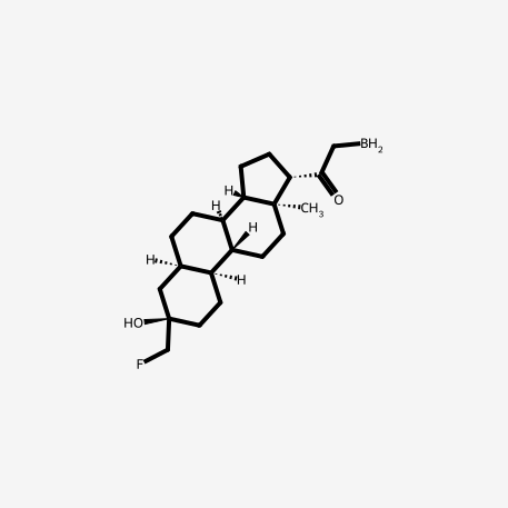 BCC(=O)[C@H]1CC[C@H]2[C@@H]3CC[C@@H]4C[C@@](O)(CF)CC[C@@H]4[C@H]3CC[C@]12C